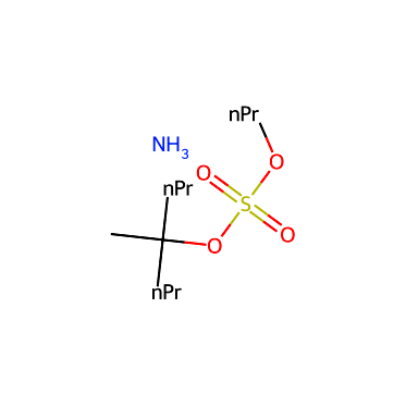 CCCOS(=O)(=O)OC(C)(CCC)CCC.N